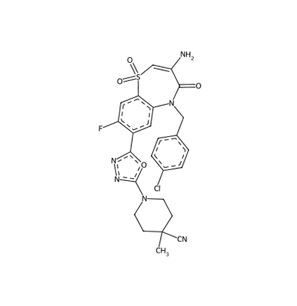 CC1(C#N)CCN(c2nnc(-c3cc4c(cc3F)S(=O)(=O)C=C(N)C(=O)N4Cc3ccc(Cl)cc3)o2)CC1